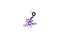 CCCn1c(=O)c2[nH]c(/C=C/c3cccc(F)c3)nc2n(CCC)c1=O